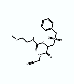 COCCNC(=O)OC(CS(=O)(=O)Cc1ccccc1)C(=O)NCC#N